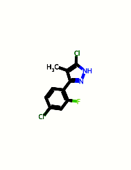 Cc1c(-c2ccc(Cl)cc2F)n[nH]c1Cl